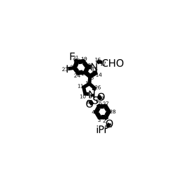 CC(C)Oc1ccc(S(=O)(=O)N2CCC(c3cn(CC=O)c4cc(F)c(I)cc34)C2)cc1